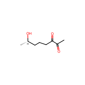 CC(=O)C(=O)CCC[C@H](C)O